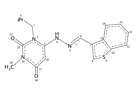 CC(C)Cn1c(N/N=C/c2csc3ccccc23)cc(=O)n(C)c1=O